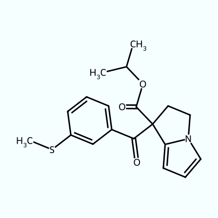 CSc1cccc(C(=O)C2(C(=O)OC(C)C)CCn3cccc32)c1